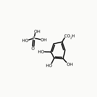 O=C(O)c1cc(O)c(O)c(O)c1.O=P(O)(O)O